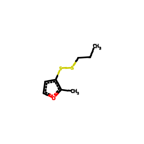 CCCSSc1ccoc1C